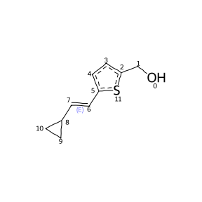 OCc1ccc(/C=C/C2CC2)s1